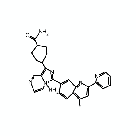 Cc1cc(-c2ccccn2)nc2cc(C3=NC(C4CCC(C(N)=O)CC4)=C4C=NC=C[N+]34N)ccc12